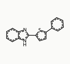 c1ccc(-c2ccc(-c3nc4ccccc4[nH]3)s2)cc1